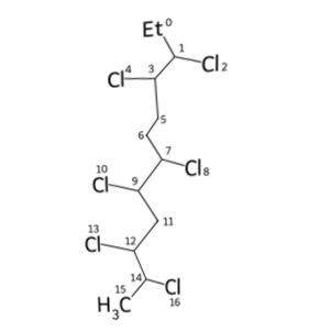 CCC(Cl)C(Cl)CCC(Cl)C(Cl)CC(Cl)C(C)Cl